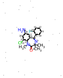 CN1C(=O)C(C)(C)N=C(c2ccccc2F)c2cc(N)cc(Cl)c21